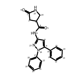 O=C1CC(C(=O)Nc2cc(-c3ccccc3)n(-c3ccccc3)n2)CN1